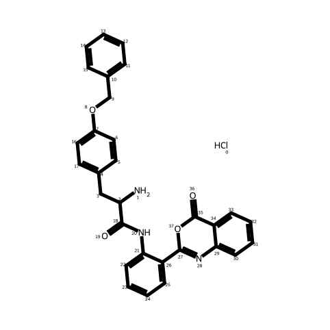 Cl.NC(Cc1ccc(OCc2ccccc2)cc1)C(=O)Nc1ccccc1-c1nc2ccccc2c(=O)o1